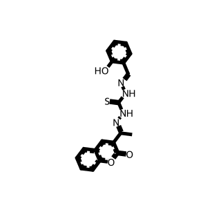 CC(=NNC(=S)NN=Cc1ccccc1O)c1cc2ccccc2oc1=O